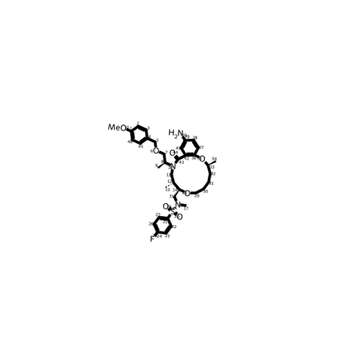 COc1ccc(COC[C@H](C)N2C[C@@H](C)[C@H](CN(C)S(=O)(=O)c3ccc(F)cc3)OCCCC[C@H](C)Oc3ccc(N)cc3C2=O)cc1